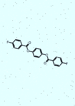 O=C(Oc1ccc(OC(=O)c2ccc(F)cc2)cc1)c1ccc(F)cc1